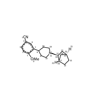 COc1ccc(C#N)cc1C1CCN([C@H]2C[C@H]3CC[C@H]2C3)CC1